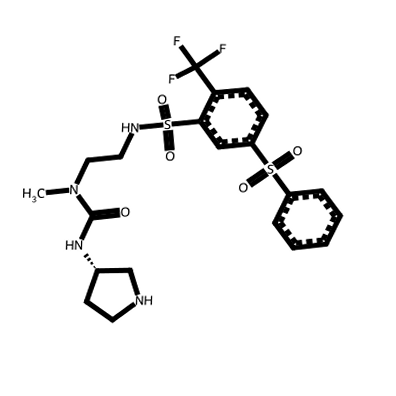 CN(CCNS(=O)(=O)c1cc(S(=O)(=O)c2ccccc2)ccc1C(F)(F)F)C(=O)N[C@H]1CCNC1